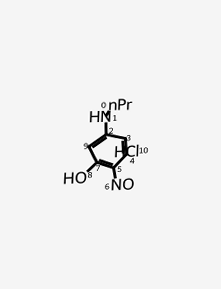 CCCNc1ccc(N=O)c(O)c1.Cl